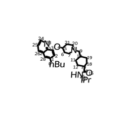 CCCCc1cc(OC2CCN(CC3CCC(C(=O)NC(C)C)CC3)CC2)c2ncccc2c1